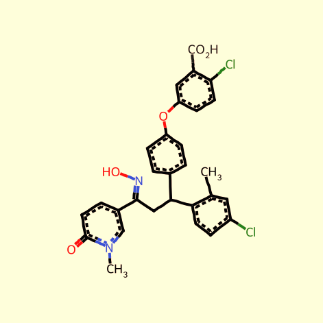 Cc1cc(Cl)ccc1C(CC(=NO)c1ccc(=O)n(C)c1)c1ccc(Oc2ccc(Cl)c(C(=O)O)c2)cc1